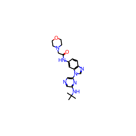 CC(C)(C)Nc1cncc(-n2cnc3ccc(NC(=O)CN4CCOCC4)cc32)n1